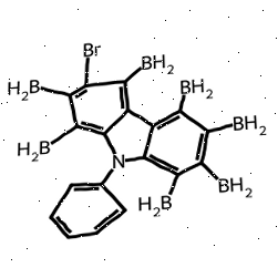 Bc1c(B)c(B)c2c(c1B)c1c(B)c(Br)c(B)c(B)c1n2-c1ccccc1